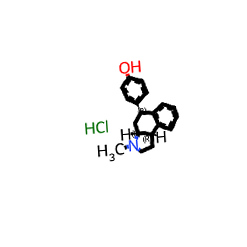 CN1CC[C@@H]2c3ccccc3[C@@H](c3ccc(O)cc3)C[C@H]21.Cl